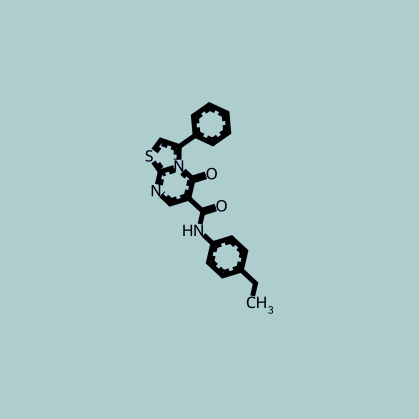 CCc1ccc(NC(=O)c2cnc3scc(-c4ccccc4)n3c2=O)cc1